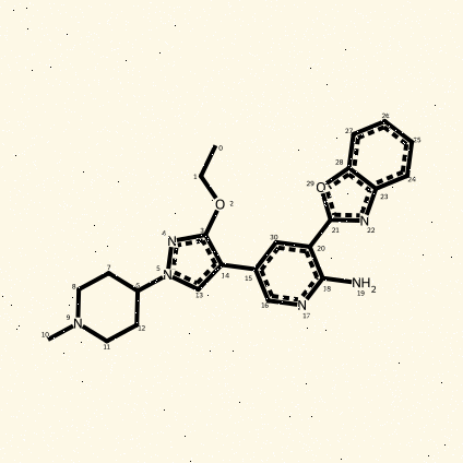 CCOc1nn(C2CCN(C)CC2)cc1-c1cnc(N)c(-c2nc3ccccc3o2)c1